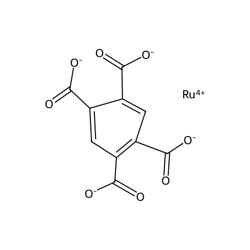 O=C([O-])c1cc(C(=O)[O-])c(C(=O)[O-])cc1C(=O)[O-].[Ru+4]